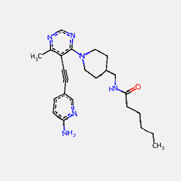 CCCCCC(=O)NCC1CCN(c2ncnc(C)c2C#Cc2ccc(N)nc2)CC1